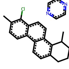 Cc1ccc2c(ccc3c4c(ccc32)CCCC4C)c1Cl.c1cnccn1